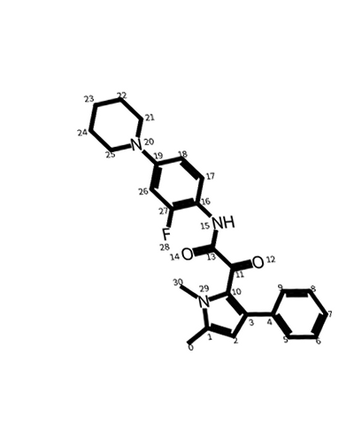 Cc1cc(-c2ccccc2)c(C(=O)C(=O)Nc2ccc(N3CCCCC3)cc2F)n1C